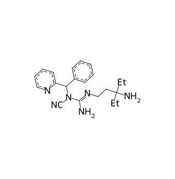 CCC(N)(CC)CCN=C(N)N(C#N)C(c1ccccc1)c1ccccn1